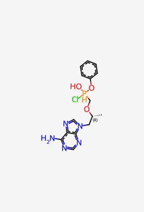 C[C@H](Cn1cnc2c(N)ncnc21)OC[PH](O)(Cl)Oc1ccccc1